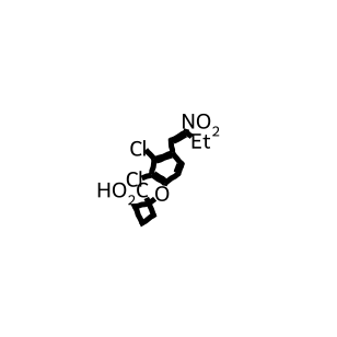 CC/C(=C\c1ccc(OC2(C(=O)O)CCC2)c(Cl)c1Cl)[N+](=O)[O-]